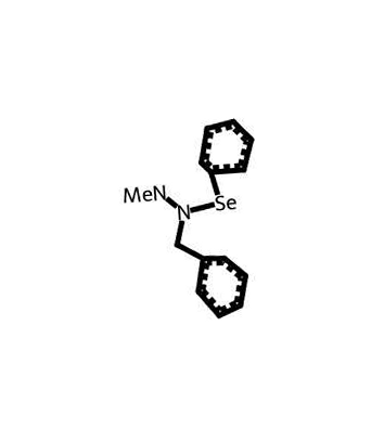 CNN(Cc1ccccc1)[Se]c1ccccc1